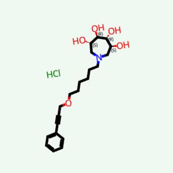 Cl.O[C@H]1[C@H](O)[C@@H](O)CN(CCCCCCOCC#Cc2ccccc2)C[C@@H]1O